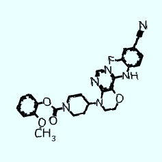 COc1ccccc1OC(=O)N1CCC(N2CCOc3c(Nc4ccc(C#N)cc4F)ncnc32)CC1